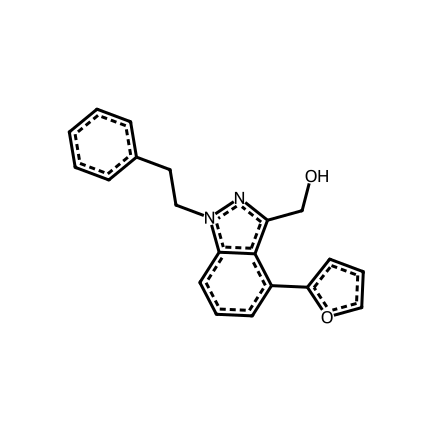 OCc1nn(CCc2ccccc2)c2cccc(-c3ccco3)c12